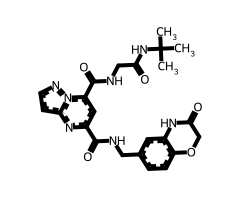 CC(C)(C)NC(=O)CNC(=O)c1cc(C(=O)NCc2ccc3c(c2)NC(=O)CO3)nc2ccnn12